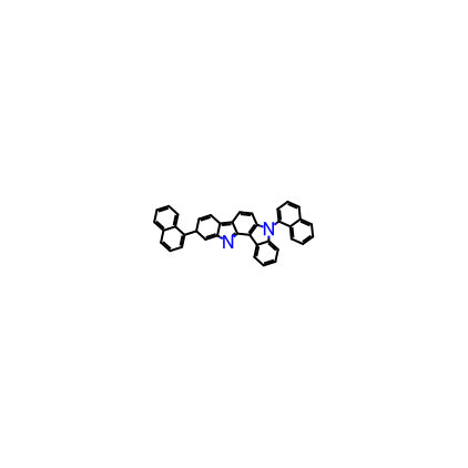 C1=CC(c2cccc3ccccc23)C=C2N=c3c(ccc4c3c3ccccc3n4-c3cccc4ccccc34)=C12